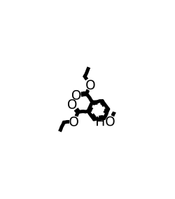 CCOC(=O)c1ccccc1C(=O)OCC.CO